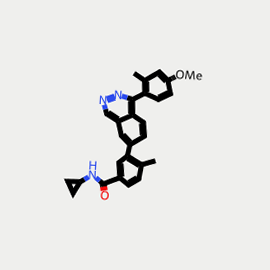 COc1ccc(-c2nncc3cc(-c4cc(C(=O)NC5CC5)ccc4C)ccc23)c(C)c1